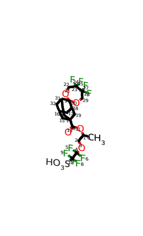 CC(COC(F)(F)C(F)(F)S(=O)(=O)O)OC(=O)C12CC3CC(C1)C1(OCC(F)(F)C(F)(F)CO1)C(C3)C2